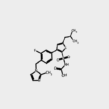 Cc1nccn1Cc1ccc(-c2cc(CC(C)C)sc2S(=O)(=O)NC(=O)O)cc1F